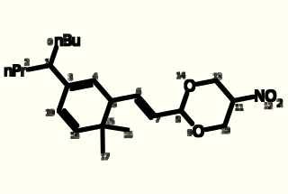 CCCCC(CCC)C1=CC(C=CC2OCC([N+](=O)[O-])CO2)C(C)(C)C=C1